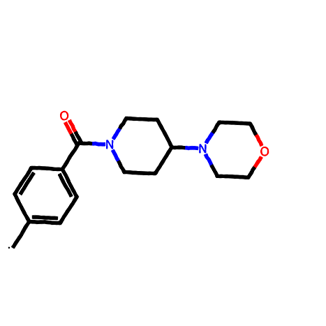 [CH2]c1ccc(C(=O)N2CCC(N3CCOCC3)CC2)cc1